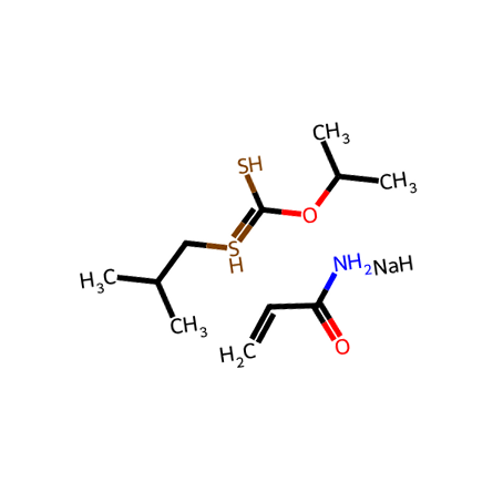 C=CC(N)=O.CC(C)C[SH]=C(S)OC(C)C.[NaH]